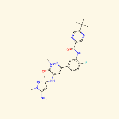 CN1NC(C)(Nc2cc(-c3ccc(F)c(NC(=O)c4cnc(C(C)(C)C)cn4)c3)nn(C)c2=O)C=C1N